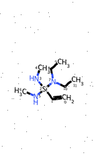 C=C[Si](NC)(NC)N(CC)CC